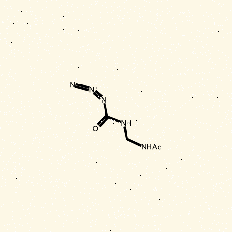 CC(=O)NCNC(=O)N=[N+]=[N-]